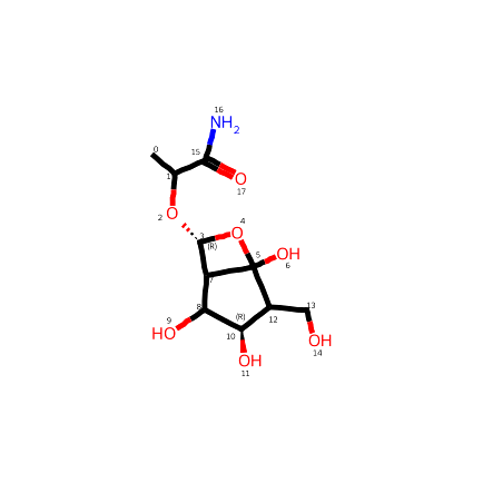 CC(O[C@@H]1OC2(O)C1C(O)[C@H](O)C2CO)C(N)=O